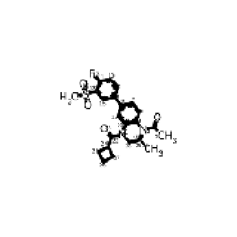 CC(=O)N1c2ccc(-c3ccc(F)c(S(C)(=O)=O)c3)cc2N(C(=O)C2CCC2)C[C@@H]1C